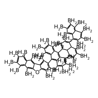 BC1=C(B)C2C(c3c(B)c(B)c(B)c4c(B)c(B)c(B)c(B)c34)=C(B)C(B)=C(c3c4c(B)c(B)c(B)c(B)c4c(-c4c(B)c(B)c5oc6c(B)c7c(B)c(B)c(B)c(B)c7c(B)c6c5c4B)c4c(B)c(B)c(B)c(B)c34)C2C(B)=C1B